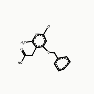 Cc1nc(Cl)cc(OCc2ccccc2)c1CC(=O)O